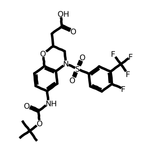 CC(C)(C)OC(=O)Nc1ccc2c(c1)N(S(=O)(=O)c1ccc(F)c(C(F)(F)F)c1)CC(CC(=O)O)O2